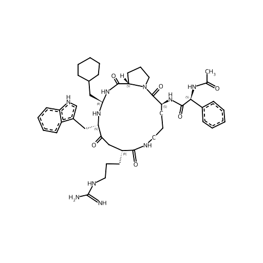 CC(=O)N[C@H](C(=O)N[C@H]1CCCNC(=O)[C@H](CCCNC(=N)N)CC(=O)[C@H](Cc2c[nH]c3ccccc23)N[C@@H](CC2CCCCC2)NC(=O)[C@@H]2CCCN2C1=O)c1ccccc1